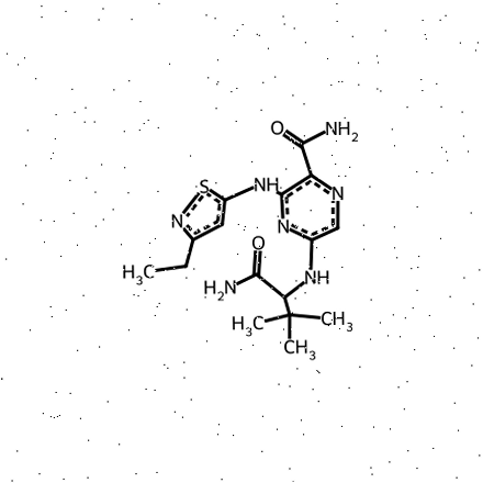 CCc1cc(Nc2nc(NC(C(N)=O)C(C)(C)C)cnc2C(N)=O)sn1